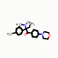 CCC(C(=O)c1ccc(N2CCOCC2)cc1)(c1ccc(C)cc1)N(C)C